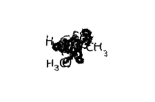 COCCN(C)CC(=O)N(CC(=O)N(CCOC)CC(=O)N(CC(=O)N(CCOC)CC(=O)N(CC(C)=O)Cc1ccccc1)Cc1ccccc1)Cc1ccccc1